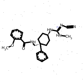 CN/C(=N\C#N)N[C@H]1CC[C@@](CNC(=O)c2ccccc2OC)(c2ccccc2)CC1